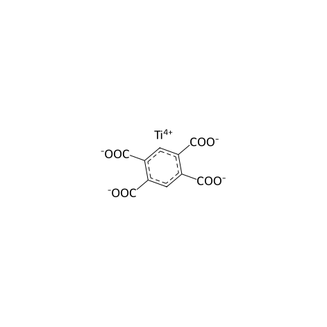 O=C([O-])c1cc(C(=O)[O-])c(C(=O)[O-])cc1C(=O)[O-].[Ti+4]